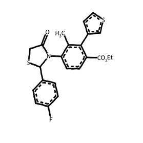 CCOC(=O)c1ccc(N2C(=O)CSC2c2ccc(F)cc2)c(C)c1-c1ccsc1